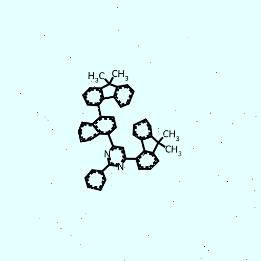 CC1(C)c2ccccc2-c2c(-c3cc(-c4ccc(-c5cccc6c5-c5ccccc5C6(C)C)c5ccccc45)nc(-c4ccccc4)n3)cccc21